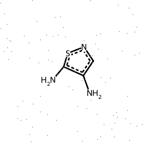 Nc1cnsc1N